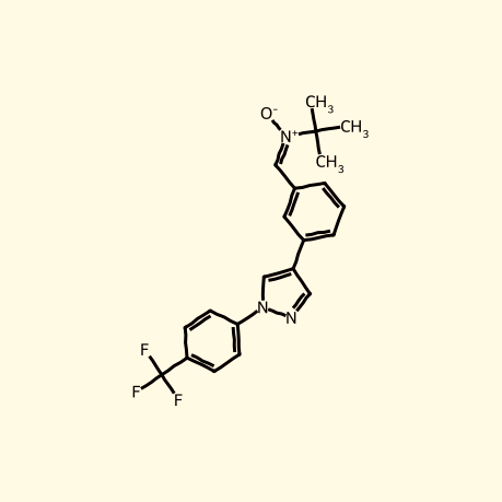 CC(C)(C)/[N+]([O-])=C\c1cccc(-c2cnn(-c3ccc(C(F)(F)F)cc3)c2)c1